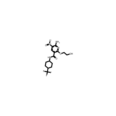 Nc1nc(OCCO)c(C(=O)NC2CCC(C(F)(F)F)CC2)cc1[N+](=O)[O-]